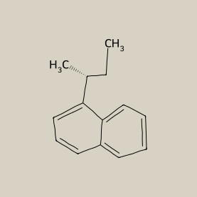 CC[C@@H](C)c1cccc2ccccc12